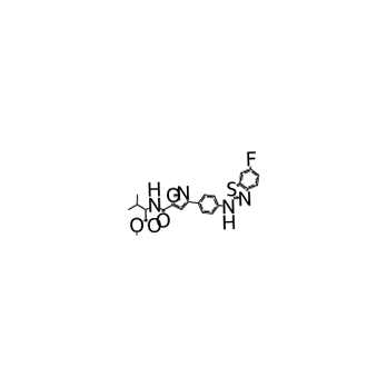 COC(=O)C(NC(=O)c1cc(-c2ccc(Nc3nc4ccc(F)cc4s3)cc2)no1)C(C)C